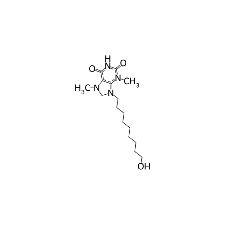 CN1CN(CCCCCCCCCO)c2c1c(=O)[nH]c(=O)n2C